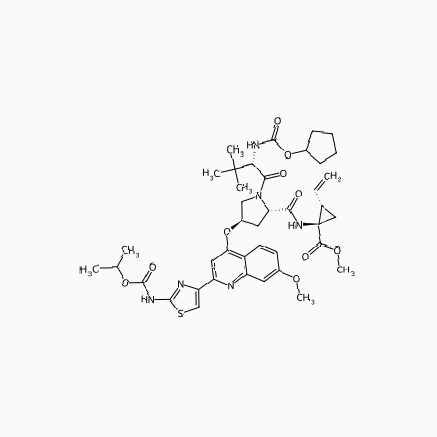 C=C[C@@H]1C[C@]1(NC(=O)[C@@H]1C[C@@H](Oc2cc(-c3csc(NC(=O)OC(C)C)n3)nc3cc(OC)ccc23)CN1C(=O)[C@@H](NC(=O)OC1CCCC1)C(C)(C)C)C(=O)OC